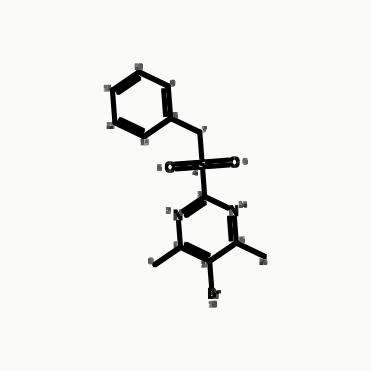 Cc1nc(S(=O)(=O)Cc2ccccc2)nc(C)c1Br